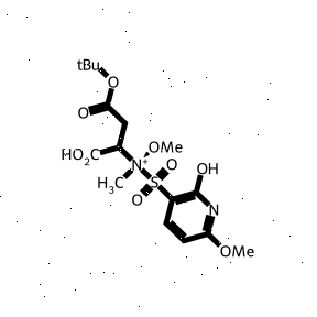 COc1ccc(S(=O)(=O)[N@+](C)(OC)C(CC(=O)OC(C)(C)C)C(=O)O)c(O)n1